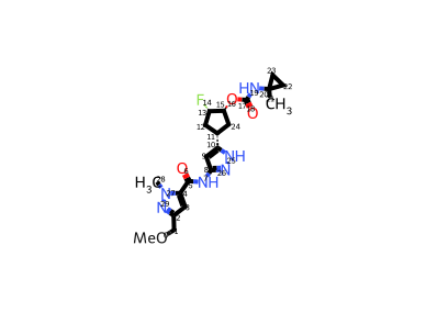 COCc1cc(C(=O)Nc2cc([C@@H]3C[C@H](F)[C@H](OC(=O)NC4(C)CC4)C3)[nH]n2)n(C)n1